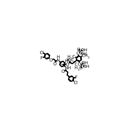 Cc1cc(OP(=O)(O)O)c(C(C)(C)CC(=O)O[C@H]2CC3(NC(=O)COc4ccc(Cl)c(F)c4)CCC2(NC(=O)CCc2ccc(Cl)c(F)c2)CC3)c(C)c1OP(=O)(O)O